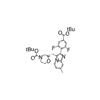 Cc1ccn2c(C[C@H]3CN(C(=O)OC(C)(C)C)CCO3)c(-c3c(F)cc(C(=O)OC(C)(C)C)cc3F)nc2c1